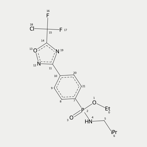 CCOP(=O)(NCC(C)C)c1ccc(-c2noc(C(F)(F)Cl)n2)cc1